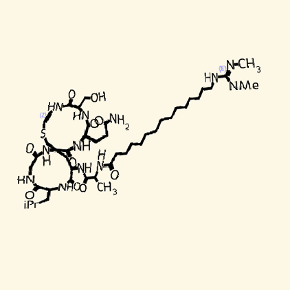 C/N=C(\NC)NCCCCCCCCCCCCCCC(=O)NC(C)C(=O)NC1CC2(CS/C=C\NC(=O)C(CO)NC(=O)C(CCC(N)=O)NC2=O)NC(=O)CNC(=O)C(CC(C)C)NC1=O